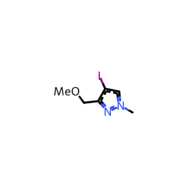 COCc1nn(C)cc1I